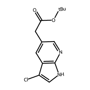 CC(C)(C)OC(=O)Cc1cnc2[nH]cc(Cl)c2c1